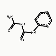 N=C(NC(N)=O)Nc1ccccn1